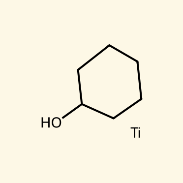 OC1CCCCC1.[Ti]